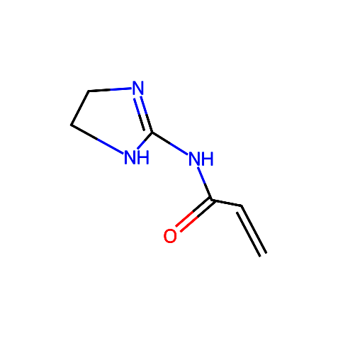 C=CC(=O)NC1=NCCN1